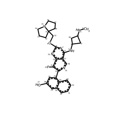 CNC1CC(Nc2nc(OCC34CCCN3CCC4)nc3c(F)c(-c4cc(O)cc5ccccc45)ncc23)C1